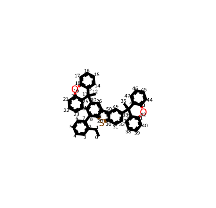 CCc1ccccc1-c1cc(C2(C)c3ccccc3Oc3ccccc32)cc2c1sc1ccc(C3(C)c4ccccc4Oc4ccccc43)cc12